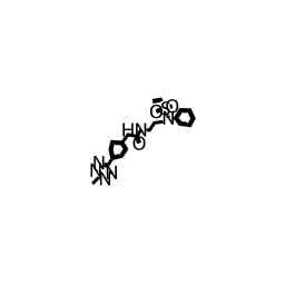 C=CS(=O)(=O)N(CCCNC(=O)Cc1ccc(-c2nnc(C)nn2)cc1)c1ccccc1